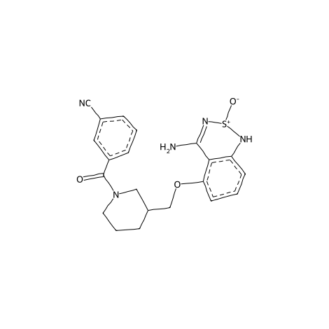 N#Cc1cccc(C(=O)N2CCCC(COc3cccc4c3C(N)=N[S+]([O-])N4)C2)c1